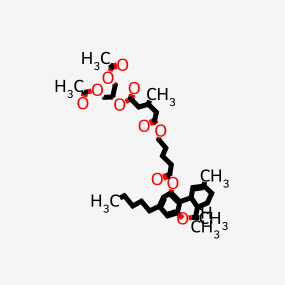 CCCCCc1cc(OC(=O)CCCCOC(=O)CC(C)CC(=O)OC(COC(C)=O)COC(C)=O)c2c(c1)OC(C)(C)[C@@H]1CCC(C)=CC21